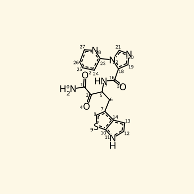 NC(=O)C(=O)C(Cc1csc2[nH]ccc12)NC(=O)c1cncn1-c1ccccn1